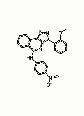 COc1ccccc1-c1nnc2c3ccccc3c(Nc3ccc([N+](=O)[O-])cc3)nn12